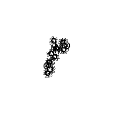 c1ccc(-c2nc(-c3cccc4c(-c5ccc6oc7c8ccccc8ccc7c6c5)cccc34)nc(-c3cccc4oc5ccccc5c34)n2)cc1